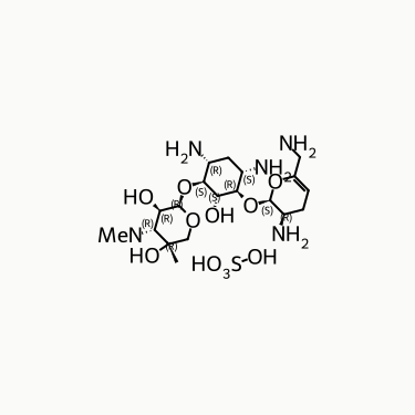 CN[C@@H]1[C@@H](O)[C@@H](O[C@@H]2[C@@H](O)[C@H](O[C@H]3OC(CN)=CC[C@H]3N)[C@@H](N)C[C@H]2N)OC[C@]1(C)O.O=S(=O)(O)O